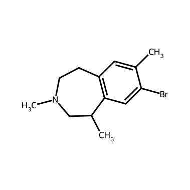 Cc1cc2c(cc1Br)C(C)CN(C)CC2